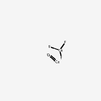 [F][Ce]([F])[F].[O]=[Ce]